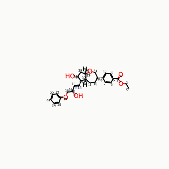 CCOC(=O)c1ccc([C@@H]2CC[C@@H]3[C@@H](/C=C/[C@@H](O)COc4ccccc4)[C@H](O)C[C@@H]3OC2)cc1